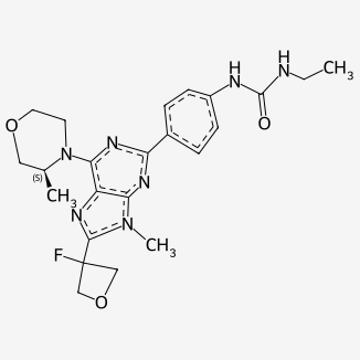 CCNC(=O)Nc1ccc(-c2nc(N3CCOC[C@@H]3C)c3nc(C4(F)COC4)n(C)c3n2)cc1